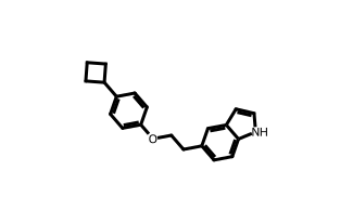 c1cc2cc(CCOc3ccc(C4CCC4)cc3)ccc2[nH]1